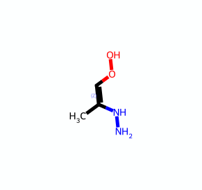 C/C(=C/OO)NN